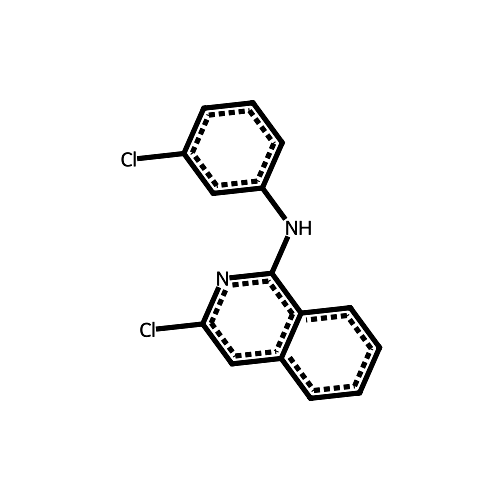 Clc1cccc(Nc2nc(Cl)cc3ccccc23)c1